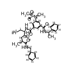 CC(C)CC(NC(=O)c1cc(C(=O)NC(C)c2ccccc2)cc(N(C)S(C)(=O)=O)c1)C(O)CC(C)C(=O)NCc1ccccc1